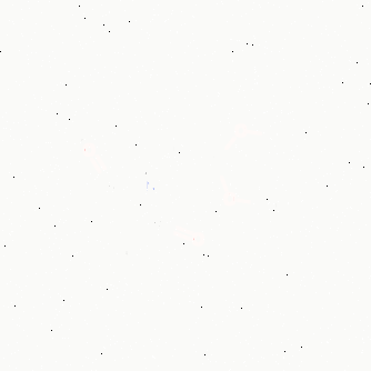 CCOC(CN1C(=O)C=CC1=O)OCC